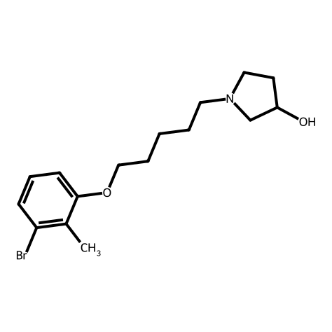 Cc1c(Br)cccc1OCCCCCN1CCC(O)C1